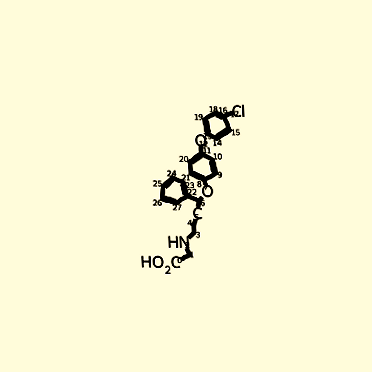 O=C(O)CNCCCC(Oc1ccc(Oc2ccc(Cl)cc2)cc1)c1ccccc1